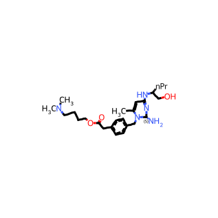 CCCC(CO)NC1=N[C@@H](N)N(Cc2ccc(CC(=O)OCCCCN(C)C)cc2)C(C)=C1